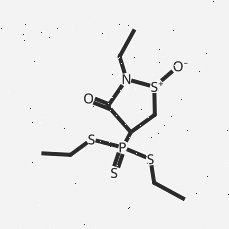 CCSP(=S)(SCC)C1C[S+]([O-])N(CC)C1=O